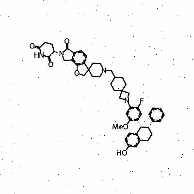 COc1cc(N2CC3(CCC(CN4CCC5(CC4)COc4c5ccc5c4CN([C@H]4CCC(=O)NC4=O)C5=O)CC3)C2)c(F)cc1[C@H]1c2ccc(O)cc2CC[C@H]1c1ccccc1